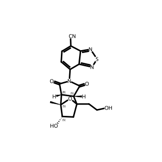 C[C@@]12OC(CCO)(C[C@@H]1O)[C@H]1C(=O)N(c3ccc(C#N)c4nsnc34)C(=O)[C@H]12